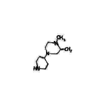 C=C1CN(C2=CCNCC2)CCN1C